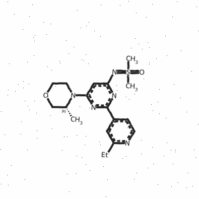 CCc1cc(-c2nc(N=S(C)(C)=O)cc(N3CCOC[C@H]3C)n2)ccn1